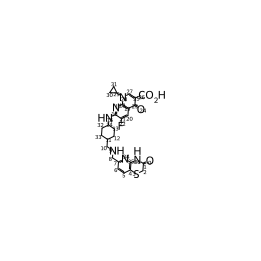 O=C1CSc2ccc(CNCC3CCC(Nc4nc5c(cc4F)c(=O)c(C(=O)O)cn5C4CC4)CC3)nc2N1